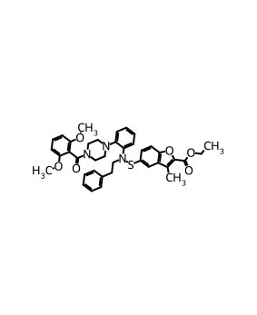 CCOC(=O)c1oc2ccc(SN(CCc3ccccc3)c3ccccc3N3CCN(C(=O)c4c(OC)cccc4OC)CC3)cc2c1C